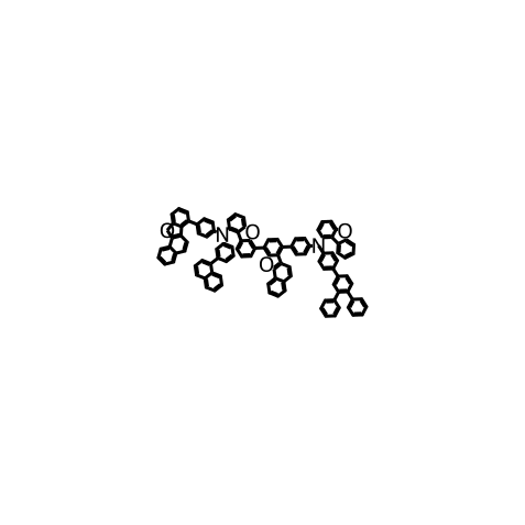 c1ccc(-c2ccc(-c3ccc(N(c4ccc(-c5ccc(-c6cccc7c6oc6cccc(N(c8ccc(-c9cccc%10oc%11c%12ccccc%12ccc%11c9%10)cc8)c8cccc(-c9cccc%10ccccc9%10)c8)c67)c6oc7c8ccccc8ccc7c56)cc4)c4cccc5oc6ccccc6c45)cc3)cc2-c2ccccc2)cc1